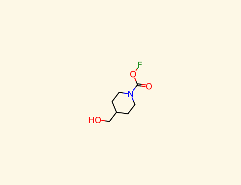 O=C(OF)N1CCC(CO)CC1